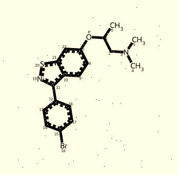 CC(CN(C)C)Oc1ccc2c(-c3ccc(Br)cc3)nsc2c1